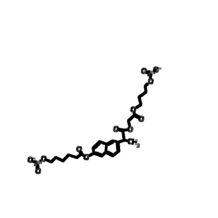 CC(C(=O)OCC(=O)OCCCCO[N+](=O)[O-])c1ccc2cc(OC(=O)CCCCCO[N+](=O)[O-])ccc2c1